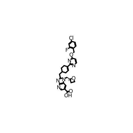 O=C(O)c1cnc2nc(CC3CC=C(c4nccc(OCc5ccc(Cl)cc5F)n4)CC3)n(C[C@@H]3CCO3)c2c1